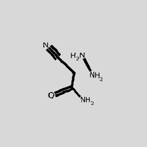 N#CCC(N)=O.NN